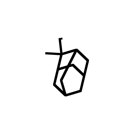 [CH2]C1(C)C2CC3CC(C2)CC1C3